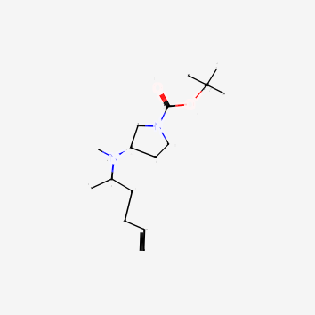 C=CCCC(C)N(C)[C@@H]1CCN(C(=O)OC(C)(C)C)C1